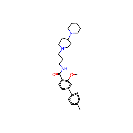 COc1cc(-c2ccc(C)cc2)ccc1C(=O)NCCCN1CCC(N2CCCCC2)CC1